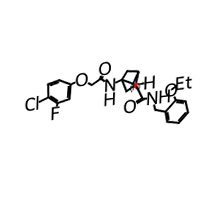 CCOc1ccccc1CNC(=O)[C@@H]1CC2(NC(=O)COc3ccc(Cl)c(F)c3)CC1C2